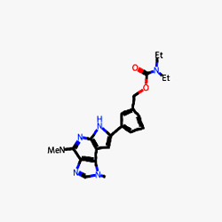 CCN(CC)C(=O)OCc1cccc(-c2cc3c(nc(NC)c4ncn(C)c43)[nH]2)c1